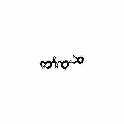 O=C(NCc1cccc(OCc2ccccc2F)c1)c1ccn2nccc2c1